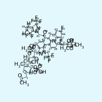 CC(=O)Cc1cc(C)c(C(C)(C)CC(=O)C(c2nn(CC(F)(F)F)c3c(-c4ccc(C#CC(C)(C)S(C)(=O)=O)nc4[C@@H](CC(=O)Cn4nc(C(F)(F)F)c5c4C(F)(F)[C@@H]4C[C@H]54)Cc4cc(F)cc(F)c4)ccc(Cl)c23)S(C)(=O)=O)c(OP(=O)(O)O)c1